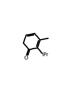 CC1=C(C(C)C)C(=O)CC=C1